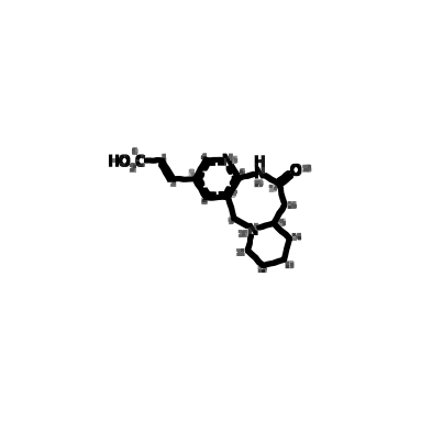 O=C(O)/C=C/c1cnc2c(c1)CN1CCCCC1CC(=O)N2